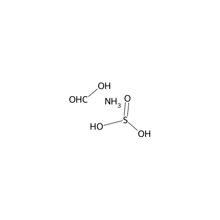 N.O=CO.O=S(O)O